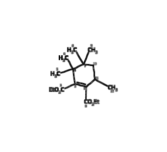 CCOC(=O)C1=C(C(=O)OCC)C(C)(C)C(C)(C)CC1C